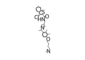 Cc1c(OCCCCN(C)C)ccc(C(C)N2CC(CNC(=O)c3sc4ccccc4c3Cl)C2)c1C